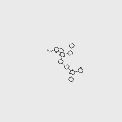 Cc1ccc2ccc3c(-c4cccc(-c5ccccc5)c4)cc(-c4cccc(-c5ccc(-c6nc(-c7ccccc7)cc(-c7cccnc7)n6)cc5)c4)nc3c2n1